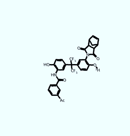 [2H]Oc1ccc(C(c2ccc(O)c(NC(=O)c3cccc(C(C)=O)c3)c2)(C(F)(F)F)C(F)(F)F)cc1N1C(=O)C2C3C=CC(C3)C2C1=O